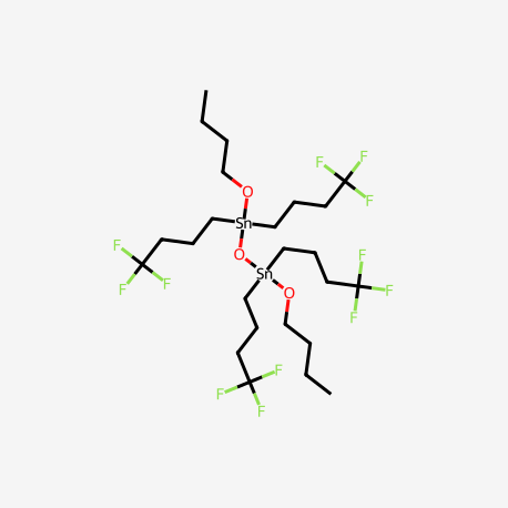 CCCC[O][Sn]([CH2]CCC(F)(F)F)([CH2]CCC(F)(F)F)[O][Sn]([CH2]CCC(F)(F)F)([CH2]CCC(F)(F)F)[O]CCCC